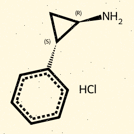 Cl.N[C@@H]1C[C@H]1c1ccccc1